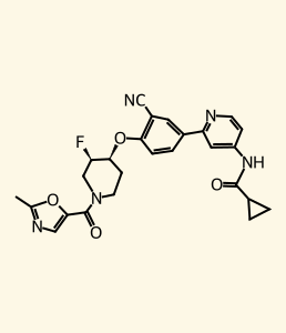 Cc1ncc(C(=O)N2CC[C@H](Oc3ccc(-c4cc(NC(=O)C5CC5)ccn4)cc3C#N)[C@H](F)C2)o1